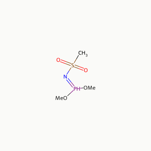 CO[PH](=NS(C)(=O)=O)OC